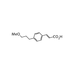 COCCCc1ccc(C=CC(=O)O)cc1